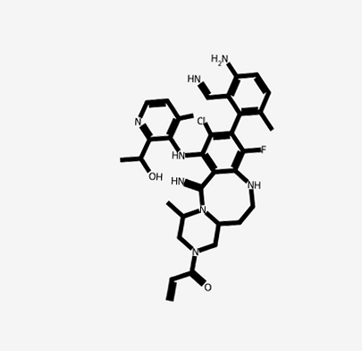 C=CC(=O)N1CC(C)N2C(=N)c3c(c(F)c(-c4c(C)ccc(N)c4C=N)c(Cl)c3Nc3c(C)ccnc3C(C)O)NCCC2C1